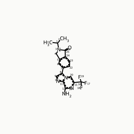 CC(C)N1Cc2cc(-c3cnc4c(N)nc(C(F)(F)F)cn34)ccc2C1=O